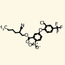 CCCCC(C#N)COC(=O)c1cc(Oc2ccc(C(F)(F)F)cc2Cl)ccc1[N+](=O)[O-]